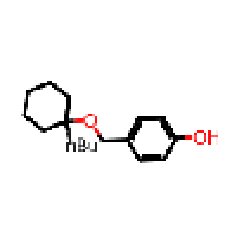 CCCCC1(OCc2ccc(O)cc2)CCCCC1